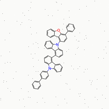 c1ccc(-c2ccc(-n3c4ccccc4c4c(-c5cccc6c5c5ccccc5n6-c5ccc(-c6ccccc6)c6oc7ccccc7c56)cccc43)cc2)cc1